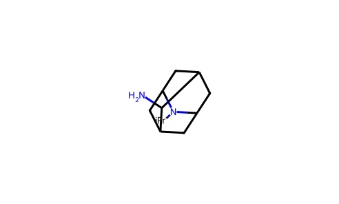 CC(C)N1C2CC3CC1CC(C2)C3N